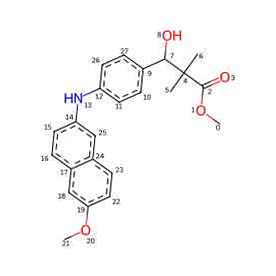 COC(=O)C(C)(C)C(O)c1ccc(Nc2ccc3cc(OC)ccc3c2)cc1